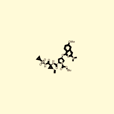 C=C[C@@H]1C[C@]1(NC(=O)[C@@H]1C[C@@H](Oc2nc(N(C)C)cc3cc(OC)ccc23)CN1C(=O)OC(C)(C)C)C(=O)NS(=O)(=O)C1CC1